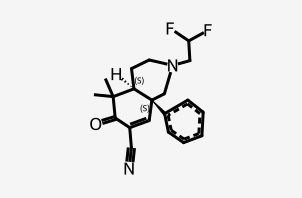 CC1(C)C(=O)C(C#N)=C[C@@]2(c3ccccc3)CN(CC(F)F)CC[C@H]12